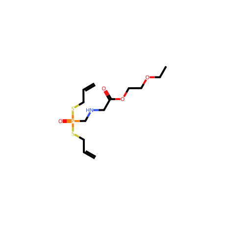 C=CCSP(=O)(CNCC(=O)OCCOCC)SCC=C